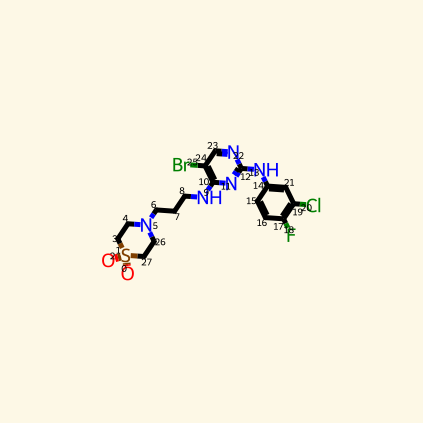 O=S1(=O)CCN(CCCNc2nc(Nc3ccc(F)c(Cl)c3)ncc2Br)CC1